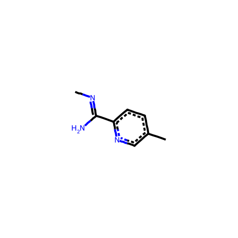 C/N=C(\N)c1ccc(C)cn1